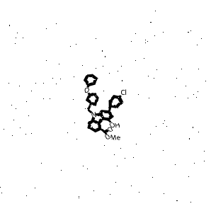 COC(=O)c1cccc2c1c1c(O)cc(-c3ccc(Cl)cc3)cc1n2Cc1cccc(Oc2ccccc2)c1